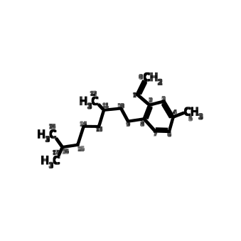 C=Cc1cc(C)ccc1CCC(C)CCCC(C)C